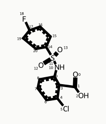 O=C(O)c1c(Cl)cccc1NS(=O)(=O)c1ccc(F)cc1